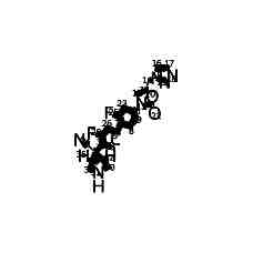 N#C[C@]1(c2ccc(-c3ccc(N4C[C@H](Cn5ccnn5)OC4=O)cc3F)cc2F)[C@@H]2CNC[C@@H]21